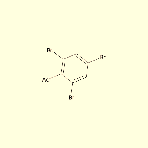 CC(=O)c1c(Br)cc(Br)cc1Br